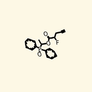 C#CCC(F)C(=O)OC(C)P(=O)(c1ccccc1)c1ccccc1